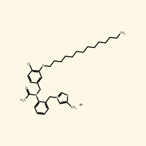 CCCCCCCCCCCCCCOc1cc(CN(C(C)=O)c2ccccc2C[n+]2csc(C)c2)ccc1Cl.[Br-]